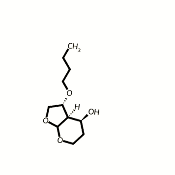 CCCCO[C@H]1COC2OCC[C@H](O)[C@@H]21